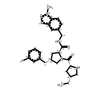 CC[C@H]1CN[C@@H](C(=O)N2C[C@H](Cc3cccc(F)c3)C[C@H]2C(=O)NCc2ccc3c(c2)nnn3C)C1